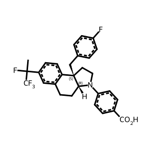 CC(F)(c1ccc2c(c1)CC[C@H]1N(c3ccc(C(=O)O)cc3)CC[C@@]21Cc1ccc(F)cc1)C(F)(F)F